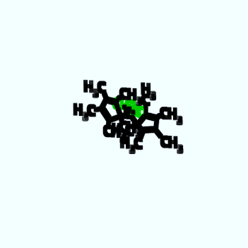 CC1=C(C)[C](C)([Ir]([Cl])([Cl])([Cl])([Cl])[C]2(C)C(C)=C(C)C(C)=C2C)C(C)=C1C